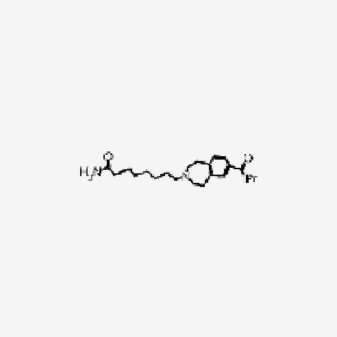 CC(C)C(=O)c1ccc2c(c1)CCN(CCCCCCCC(N)=O)CC2